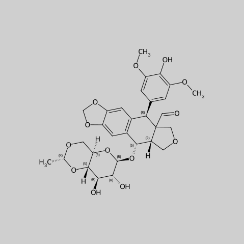 COc1cc([C@@H]2c3cc4c(cc3[C@@H](O[C@@H]3O[C@@H]5CO[C@@H](C)O[C@H]5[C@H](O)[C@H]3O)[C@H]3COCC23C=O)OCO4)cc(OC)c1O